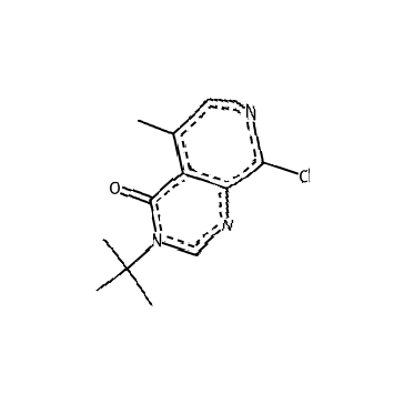 Cc1cnc(Cl)c2ncn(C(C)(C)C)c(=O)c12